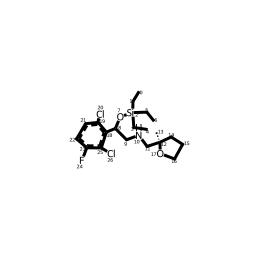 CC[Si](CC)(CC)OC(CNC[C@@]1(C)CCCO1)c1c(Cl)ccc(F)c1Cl